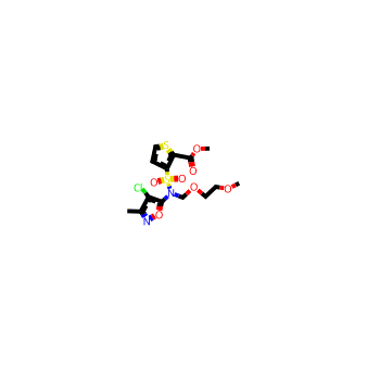 COCCOCN(c1onc(C)c1Cl)S(=O)(=O)c1ccsc1C(=O)OC